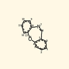 [c]1cccc2c1C=Nc1ccccc1O2